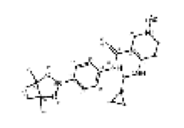 CC(=O)N1CCC(NCC2CC2)=C(C(=N)Nc2ccc(B3OC(C)(C)C(C)(C)O3)cc2)C1